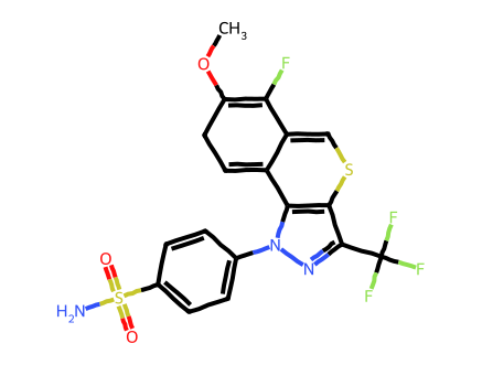 COC1=C(F)C2=CSc3c(C(F)(F)F)nn(-c4ccc(S(N)(=O)=O)cc4)c3C2=CC1